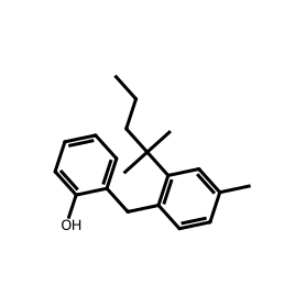 CCCC(C)(C)c1cc(C)ccc1Cc1ccccc1O